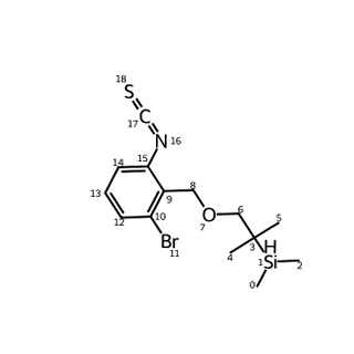 C[SiH](C)C(C)(C)COCc1c(Br)cccc1N=C=S